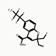 CNC(=O)C1=CC(CF)(CF)Oc2ccc(C(F)(F)C(F)(F)C(F)(F)F)cc21